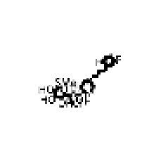 CSC1O[C@H]([C@H](NC(=O)[C@@H]2CC[C@H](CCCCc3cc(F)ccc3F)CCN2)[C@H](C)Cl)C(O)C(O)[C@H]1O